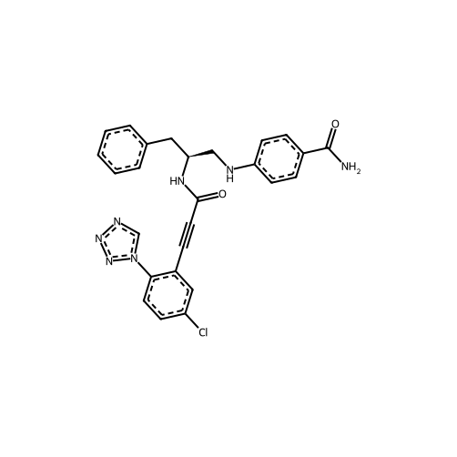 NC(=O)c1ccc(NC[C@H](Cc2ccccc2)NC(=O)C#Cc2cc(Cl)ccc2-n2cnnn2)cc1